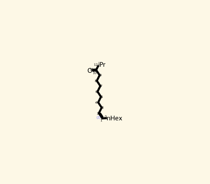 CCCCCC/C=C\CCCCCCCC(=O)C(C)C